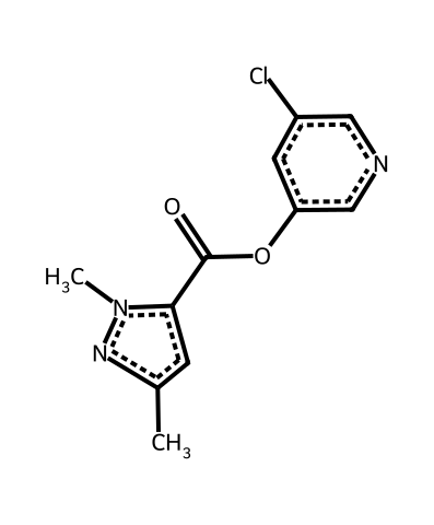 Cc1cc(C(=O)Oc2cncc(Cl)c2)n(C)n1